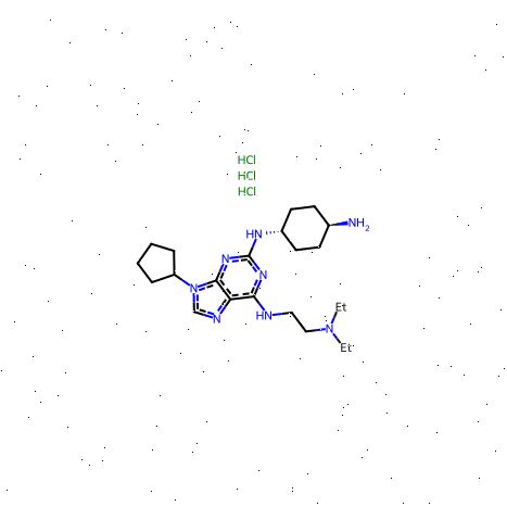 CCN(CC)CCNc1nc(N[C@H]2CC[C@H](N)CC2)nc2c1ncn2C1CCCC1.Cl.Cl.Cl